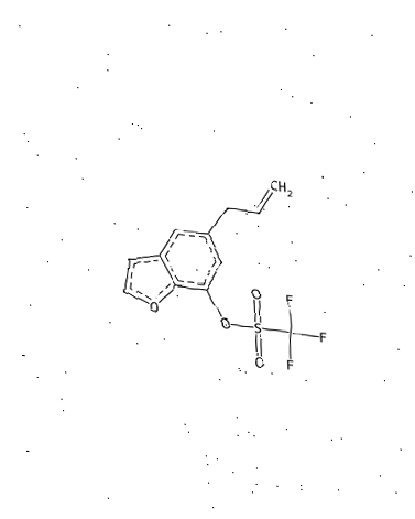 C=CCc1cc(OS(=O)(=O)C(F)(F)F)c2occc2c1